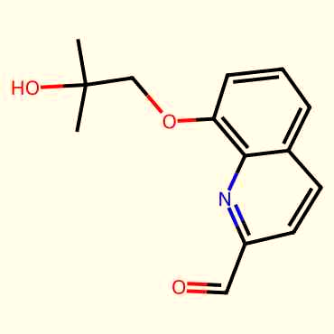 CC(C)(O)COc1cccc2ccc(C=O)nc12